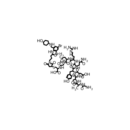 CC(C)CC(NC(=O)C(CCCNC(=N)N)NC(=O)C(CCC(N)=O)NC(=O)C(Cc1ccc(O)cc1)NC(=O)C(CC(=O)O)NC(=O)C(CO)NC(=O)C(C)NC(=O)CN)C(=O)NCC(=O)NC(CSC1CC(=O)N(CCCC(=O)Nc2c(Br)cc(Br)cc2CN[C@H]2CC[C@H](O)CC2)C1=O)C(=O)O